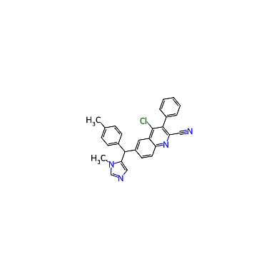 Cc1ccc(C(c2ccc3nc(C#N)c(-c4ccccc4)c(Cl)c3c2)c2cncn2C)cc1